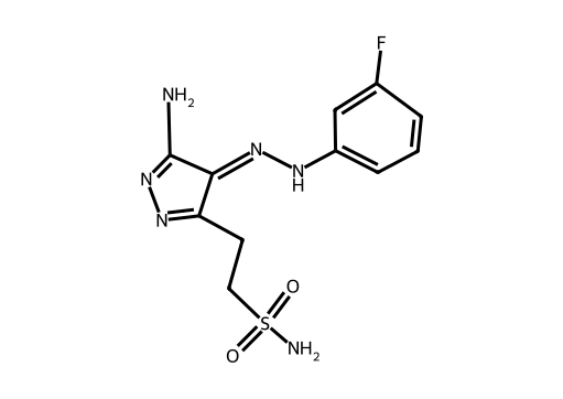 NC1=NN=C(CCS(N)(=O)=O)C1=NNc1cccc(F)c1